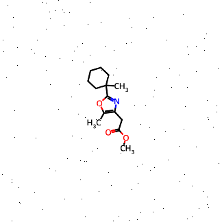 COC(=O)Cc1nc(C2(C)CCCCC2)oc1C